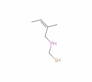 C/C=C(/C)CPCS